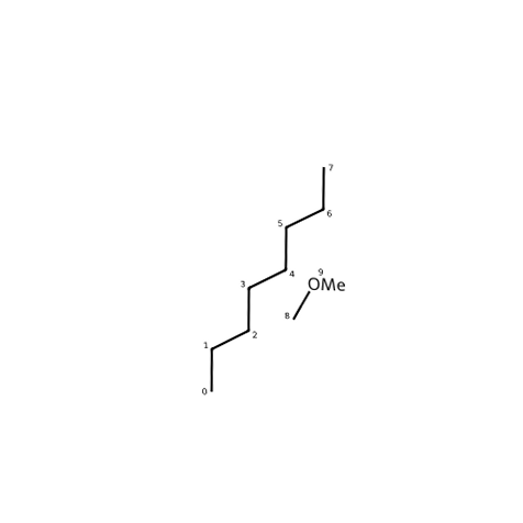 CCCCCCCC.COC